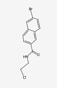 O=C(NCCCl)c1ccc2cc(Br)ccc2c1